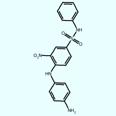 Nc1ccc(Nc2ccc(S(=O)(=O)Nc3ccccc3)cc2[N+](=O)[O-])cc1